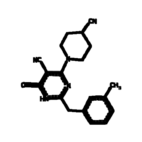 Cc1cccc(Cc2nc(N3CCC(C#N)CC3)c(C#N)c(=O)[nH]2)c1